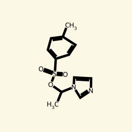 Cc1ccc(S(=O)(=O)OC(C)n2ccnc2)cc1